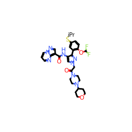 CC(C)Sc1ccc(OC(F)F)c(-c2nn(CC(=O)N3CCN(C4CCOCC4)CC3)cc2NC(=O)c2cnn3cccnc23)c1